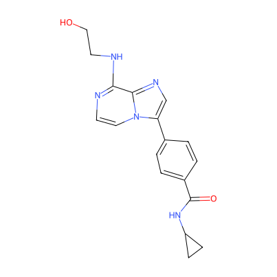 O=C(NC1CC1)c1ccc(-c2cnc3c(NCCO)nccn23)cc1